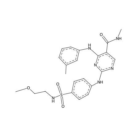 CNC(=O)c1cnc(Nc2ccc(S(=O)(=O)NCCOC)cc2)nc1Nc1cccc(C)c1